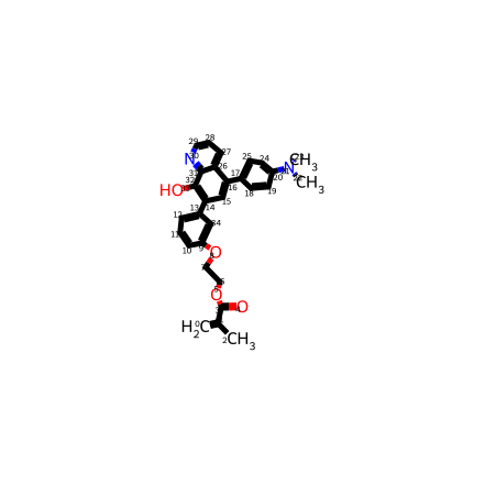 C=C(C)C(=O)OCCOc1cccc(-c2cc(-c3ccc(N(C)C)cc3)c3cccnc3c2O)c1